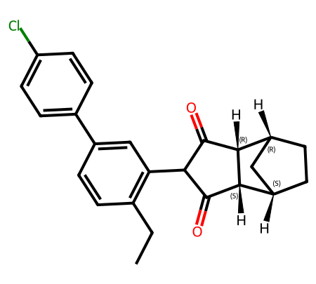 CCc1ccc(-c2ccc(Cl)cc2)cc1C1C(=O)[C@@H]2[C@@H]3CC[C@@H](C3)[C@@H]2C1=O